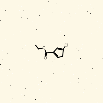 CCOC(=O)C1=CCC(Cl)=C1